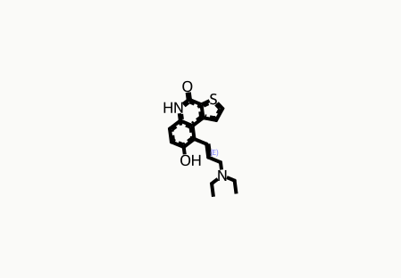 CCN(CC)C/C=C/c1c(O)ccc2[nH]c(=O)c3sccc3c12